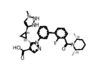 C[C@@H]1CCC[C@H](C)N1C(=O)c1cccc(-c2cccc(-n3ncc(C(=O)O)c3[C@@H]3C[C@H]3C3=CN(C)NN3)c2)c1F